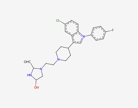 O=CC1NC(O)CN1CCN1CCC(c2cn(-c3ccc(F)cc3)c3ccc(Cl)cc23)CC1